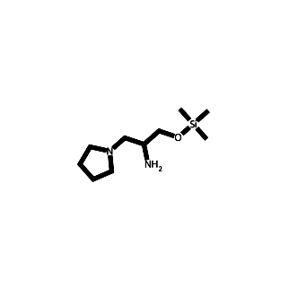 C[Si](C)(C)OCC(N)CN1CCCC1